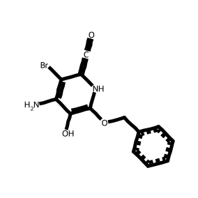 NC1=C(Br)C(=C=O)NC(OCc2ccccc2)=C1O